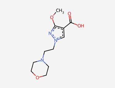 COc1nn(CCN2CCOCC2)cc1C(=O)O